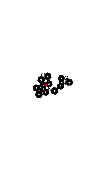 c1ccc(C2(c3ccccc3)c3ccccc3-c3c(N(c4ccc(-c5cccc6oc7ccccc7c56)cc4)c4cccc(-c5ccc6c(c5)c5cccc7c5n6-c5ccccc5O7)c4)cccc32)cc1